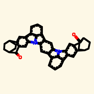 O=C1c2cc3c(cc2C2CCC1CC2)c1cccc2c4cc5c(cc4n3c12)c1cccc2c3cc4c(cc3n5c21)C(=O)C1CCC4CC1